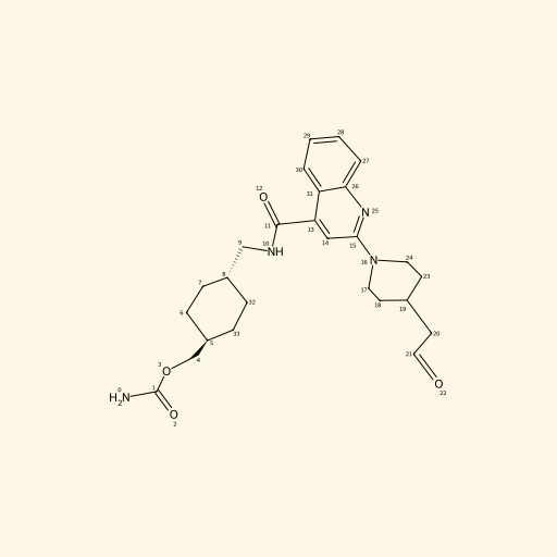 NC(=O)OC[C@H]1CC[C@H](CNC(=O)c2cc(N3CCC(CC=O)CC3)nc3ccccc23)CC1